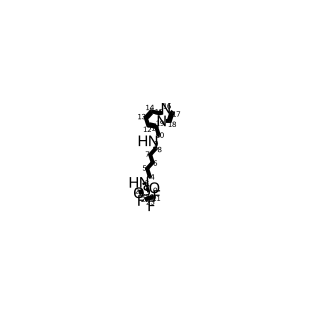 O=S(=O)(NCCCCCNCc1cccc2nccn12)C(F)(F)F